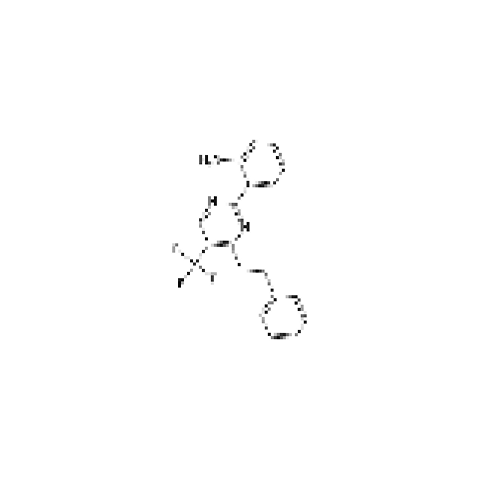 Nc1ccccc1-c1ncc(C(F)(F)F)c(CCc2ccccc2)n1